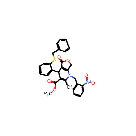 COC(=O)C1=C(C)N(Cc2ccccc2[N+](=O)[O-])C2=C(C(=O)OC2)C1c1ccccc1SCc1ccccc1